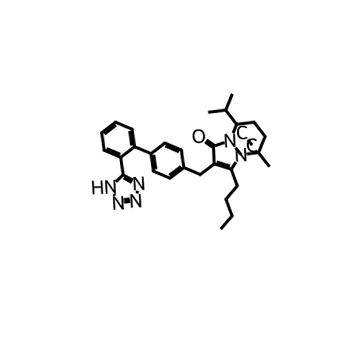 CCCCc1c(Cc2ccc(-c3ccccc3-c3nnn[nH]3)cc2)c(=O)n2n1C1(C)CCC2(C(C)C)CC1